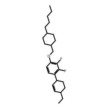 CCCCCC1CCC(COc2ccc(C3C=CC(CC)CC3)c(F)c2F)CC1